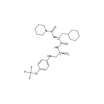 C[C@@H](CNc1ccc(OC(F)(F)F)cc1)NC(=O)[C@@H](CC(=O)N1CCCCC1)CC1CCCCC1